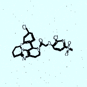 CS(=O)(=O)c1ccc(OCC(=O)N2CCc3nc4n(c3C2c2ccc(Cl)cc2F)CCCC4)c(Cl)n1